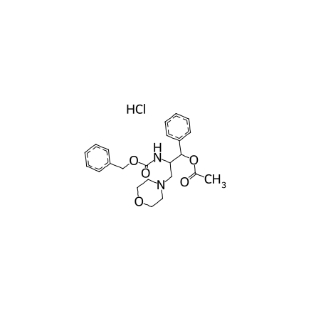 CC(=O)OC(c1ccccc1)C(CN1CCOCC1)NC(=O)OCc1ccccc1.Cl